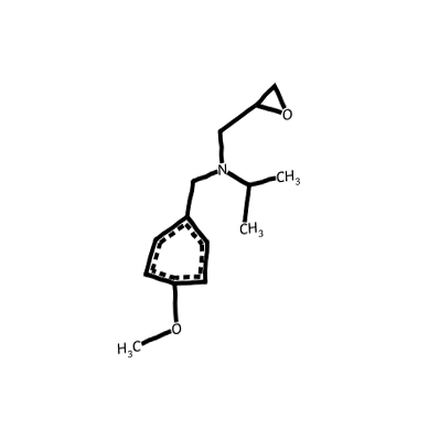 COc1ccc(CN(CC2CO2)C(C)C)cc1